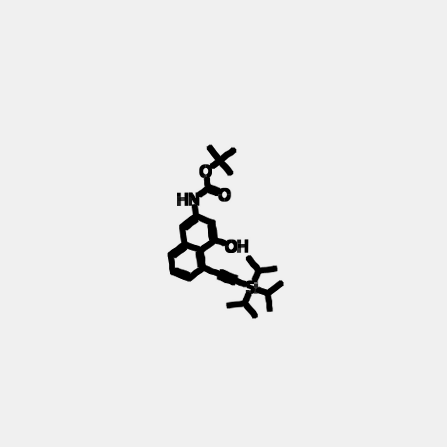 CC(C)[Si](C#Cc1cccc2cc(NC(=O)OC(C)(C)C)cc(O)c12)(C(C)C)C(C)C